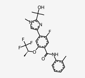 Cc1ccccc1NC(=O)c1cc(F)c(-c2cn(C)c(C(C)(C)O)n2)cc1O[C@@H](C)C(F)(F)F